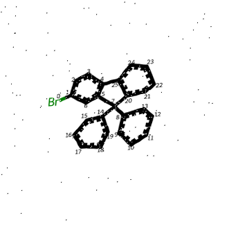 Brc1ccc2c(c1)C(c1cc[c]cc1)(c1ccccc1)c1ccccc1-2